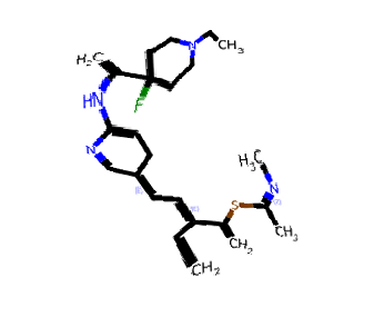 C=C/C(=C\C=C1\C=NC(NC(=C)C2(F)CCN(CC)CC2)=CC1)C(=C)S/C(C)=N\C